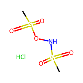 CS(=O)(=O)NOS(C)(=O)=O.Cl